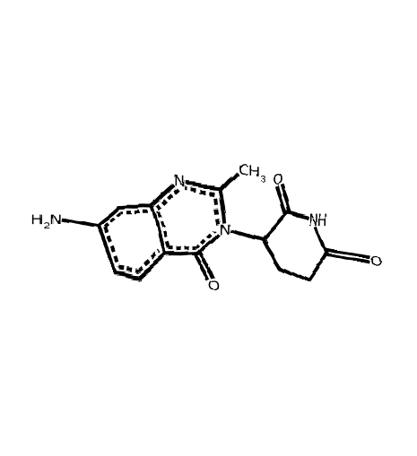 Cc1nc2cc(N)ccc2c(=O)n1C1CCC(=O)NC1=O